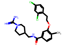 Cc1ccc(C(=O)NCC2CCN(C(=N)N)CC2)cc1OCCc1ccc(Cl)cc1Cl